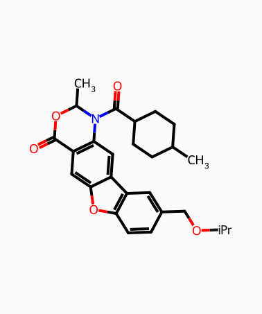 CC1CCC(C(=O)N2c3cc4c(cc3C(=O)OC2C)oc2ccc(COC(C)C)cc24)CC1